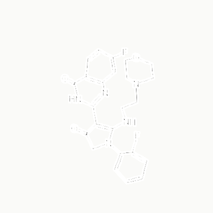 O=C1CN(c2ccccc2F)C(NCCN2CCOCC2)=C1c1nc2cc(F)ccc2c(=O)[nH]1